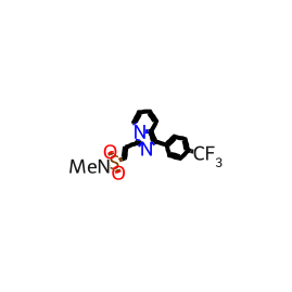 CNS(=O)(=O)/C=C/c1nc(-c2ccc(C(F)(F)F)cc2)c2ccccn12